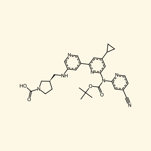 CC(C)(C)OC(=O)N(c1cc(C#N)ccn1)c1cc(C2CC2)cc(-c2cncc(NC[C@H]3CCN(C(=O)O)C3)c2)n1